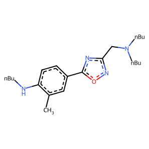 CCCCNc1ccc(-c2nc(CN(CCCC)CCCC)no2)cc1C